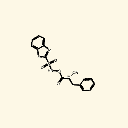 O=C(ONS(=O)(=O)c1nc2ccccc2s1)[C@H](O)Cc1ccccc1